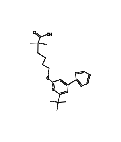 CC(C)(CCCCOc1cc(-c2ccccc2)cc(C(C)(C)C)n1)C(=O)O